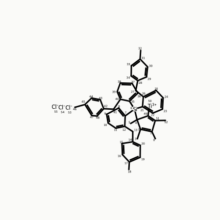 CC1=C(C)C(C)([Si](c2ccccc2Cc2ccc(C)cc2)(c2ccccc2Cc2ccc(C)cc2)c2ccccc2Cc2ccc(C)cc2)[C]([Ti+3])=C1C.[Cl-].[Cl-].[Cl-]